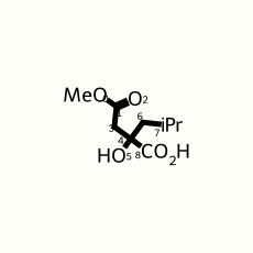 COC(=O)CC(O)(CC(C)C)C(=O)O